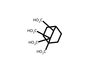 O=C(O)C1C2CCC(C(=O)O)(CC2)C1(C(=O)O)C(=O)O